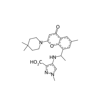 Cc1cc(C(C)Nc2cn(C)nc2C(=O)O)c2oc(N3CCC(C)(C)CC3)cc(=O)c2c1